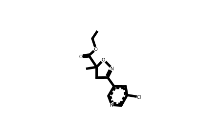 CCOC(=O)C1(C)CC(c2cncc(Cl)c2)=NO1